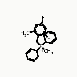 Cc1cc(F)cc(F)c1C[PH](C)(C1C=CC=CC1)C1C=CC=CC1